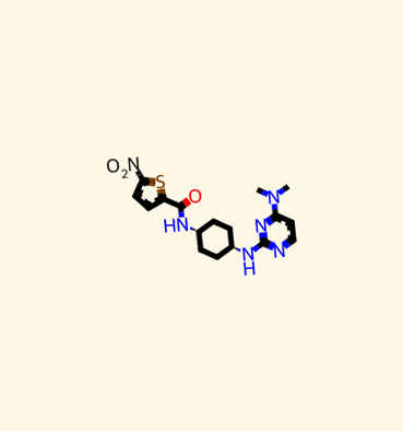 CN(C)c1ccnc(N[C@H]2CC[C@@H](NC(=O)c3ccc([N+](=O)[O-])s3)CC2)n1